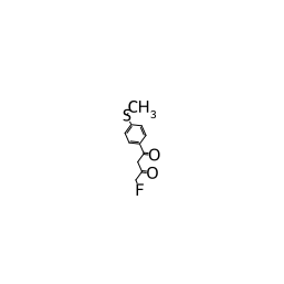 CSc1ccc(C(=O)CC(=O)CF)cc1